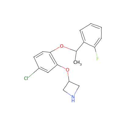 CC(Oc1ccc(Cl)cc1OC1CNC1)c1ccccc1F